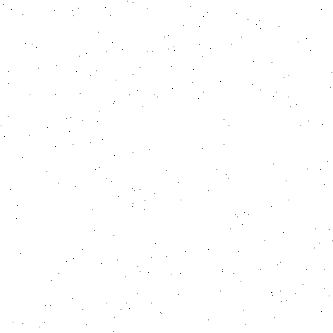 O=C1CCc2c(Oc3ccc4c(c3)C[C@H](c3nc(-c5cccs5)c[nH]3)CO4)ccnc2N1